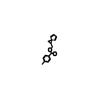 Cc1ccc(C(=O)OCC2CC23C=CC=C3)cc1